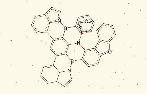 C1=CC2C=CN3B4c5ccc6oc7ccccc7c6c5N5c6c4c(cc4c6B(c6ccc7oc8ccccc8c7c65)n5ccc6cccc-4c65)C(=C1)C23